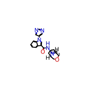 CN1[C@@H]2COC[C@H]1C[C@@H](NC(=O)c1cn(-c3cncnc3)c3ccccc13)C2